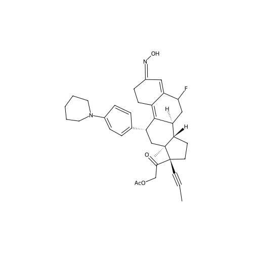 CC#C[C@]1(C(=O)COC(C)=O)CC[C@H]2[C@@H]3CC(F)C4=CC(=NO)CCC4=C3[C@@H](c3ccc(N4CCCCC4)cc3)C[C@@]21C